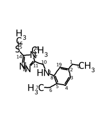 CCc1ccc(CC)c(NCc2nnc(SC)n2C)c1